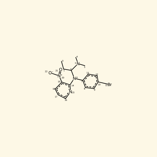 CCC(N(C)C)N(c1ccc(Br)cc1)c1ncccc1[N+](=O)[O-]